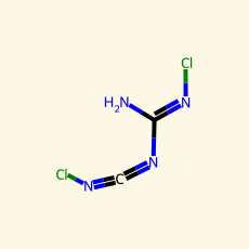 N/C(N=C=NCl)=N\Cl